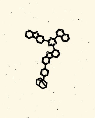 c1ccc2c(-c3nc(-c4ccc5c(c4)oc4ccccc45)nc(-c4cccc5c4oc4ccc(-c6ccc(C78CC9CC(CC(C9)C7)C8)cc6)cc45)n3)cccc2c1